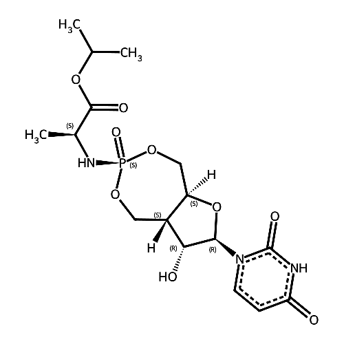 CC(C)OC(=O)[C@H](C)N[P@]1(=O)OC[C@H]2[C@@H](O)[C@H](n3ccc(=O)[nH]c3=O)O[C@@H]2CO1